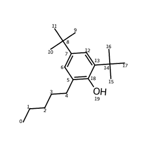 CCCCCc1cc(C(C)(C)C)cc(C(C)(C)C)c1O